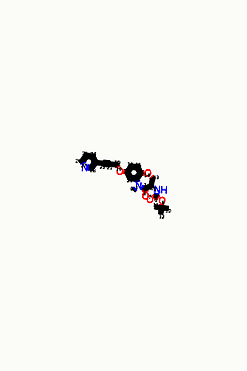 CN1C(=O)[C@@H](NC(=O)OC(C)(C)C)COc2ccc(OCC#Cc3cccnc3)cc21